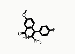 COc1ccc2c(-c3ccc(F)cc3)c(P)[nH]c(=O)c2c1